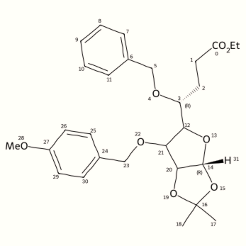 CCOC(=O)CC[C@@H](OCc1ccccc1)C1O[C@@H]2OC(C)(C)OC2C1OCc1ccc(OC)cc1